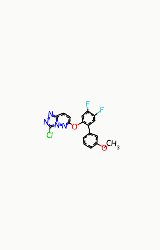 COc1cccc(-c2cc(F)c(F)cc2Oc2ccc3nnc(Cl)n3n2)c1